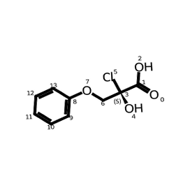 O=C(O)[C@@](O)(Cl)COc1ccccc1